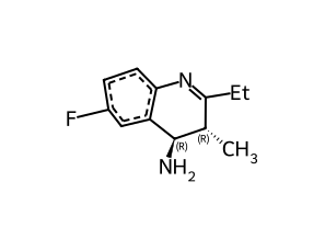 CCC1=Nc2ccc(F)cc2[C@H](N)[C@H]1C